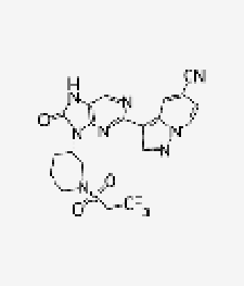 N#Cc1ccn2ncc(-c3ncc4[nH]c(=O)n([C@H]5CCCN(S(=O)(=O)CC(F)(F)F)C5)c4n3)c2c1